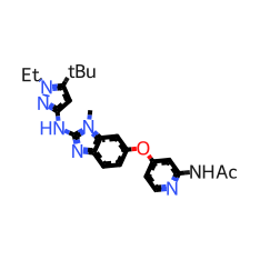 CCn1nc(Nc2nc3ccc(Oc4ccnc(NC(C)=O)c4)cc3n2C)cc1C(C)(C)C